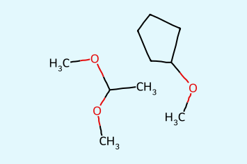 COC(C)OC.COC1CCCC1